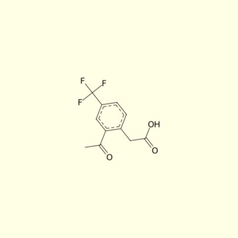 CC(=O)c1cc(C(F)(F)F)ccc1CC(=O)O